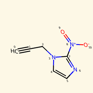 C#CCn1ccnc1[N+](=O)[O-]